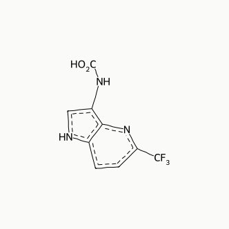 O=C(O)Nc1c[nH]c2ccc(C(F)(F)F)nc12